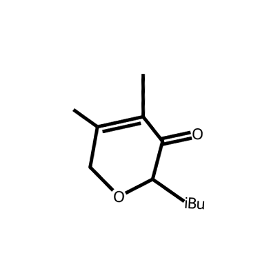 CCC(C)C1OCC(C)=C(C)C1=O